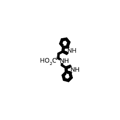 O=C(O)[C@H](Cc1c[nH]c2ccccc12)NCc1c[nH]c2ccccc12